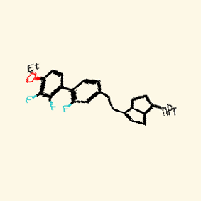 CCCC1CCC2C(CCc3ccc(-c4ccc(OCC)c(F)c4F)c(F)c3)=CCC12